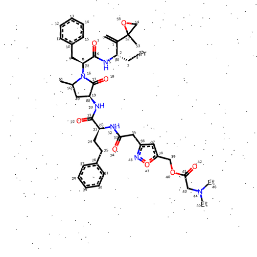 C=C([C@H](CC(C)C)NC(=O)[C@H](Cc1ccccc1)N1C(=O)[C@@H](NC(=O)[C@H](CCc2ccccc2)NC(=O)Cc2cc(COC(=O)CN(CC)CC)on2)CC1C)C1(C)CO1